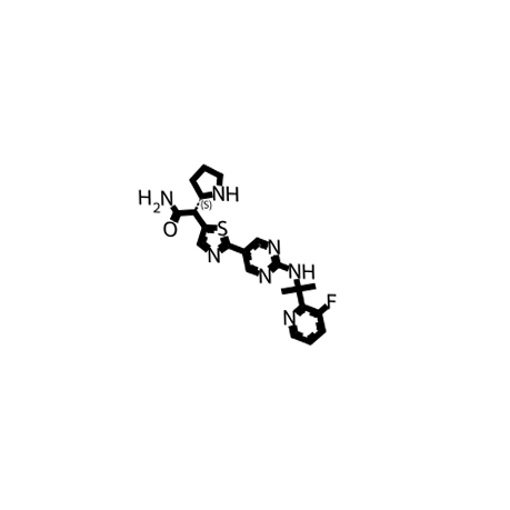 CC(C)(Nc1ncc(-c2ncc(C(C(N)=O)[C@@H]3CCCN3)s2)cn1)c1ncccc1F